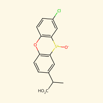 CC(C(=O)O)c1ccc2c(c1)[S+]([O-])c1cc(Cl)ccc1O2